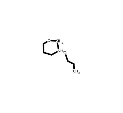 CCCO[SiH]1CCCO[SiH2]1